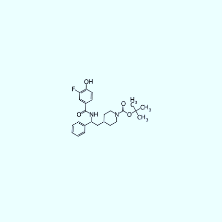 CC(C)(C)OC(=O)N1CCC(CC(NC(=O)c2ccc(O)c(F)c2)c2ccccc2)CC1